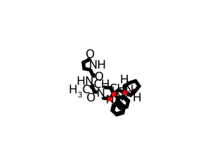 Cc1nc2ccccc2n1[C@H]1C[C@H]2CC[C@@H](C1)N2CCC1(c2ccccc2)CCN(C(=O)C(C)(C)NC(=O)C2CCC(=O)N2)CC1